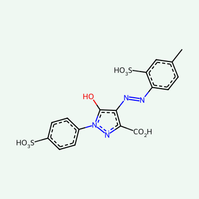 Cc1ccc(N=Nc2c(C(=O)O)nn(-c3ccc(S(=O)(=O)O)cc3)c2O)c(S(=O)(=O)O)c1